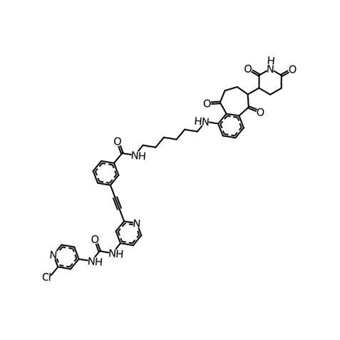 O=C1CCC(C2CCC(=O)c3c(NCCCCCCNC(=O)c4cccc(C#Cc5cc(NC(=O)Nc6ccnc(Cl)c6)ccn5)c4)cccc3C2=O)C(=O)N1